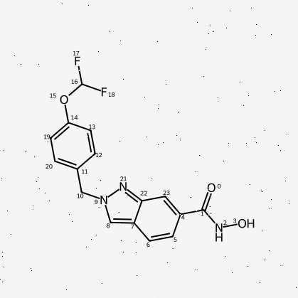 O=C(NO)c1ccc2cn(Cc3ccc(OC(F)F)cc3)nc2c1